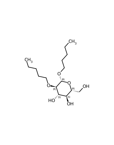 CCCCCO[C@@H]1O[C@H](CO)[C@@H](O)[C@H](O)[C@H]1OCCCCC